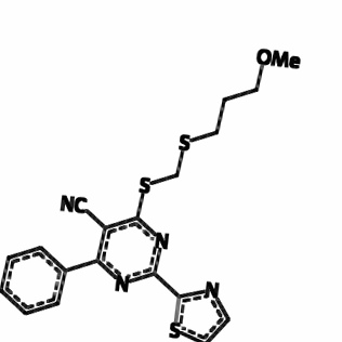 COCCCSCSc1nc(-c2nccs2)nc(-c2ccccc2)c1C#N